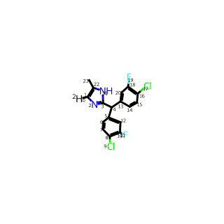 [2H]c1nc(C(c2ccc(Cl)c(F)c2)c2ccc(Cl)c(F)c2)[nH]c1C